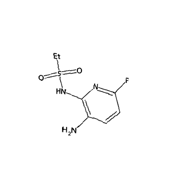 CCS(=O)(=O)Nc1nc(F)ccc1N